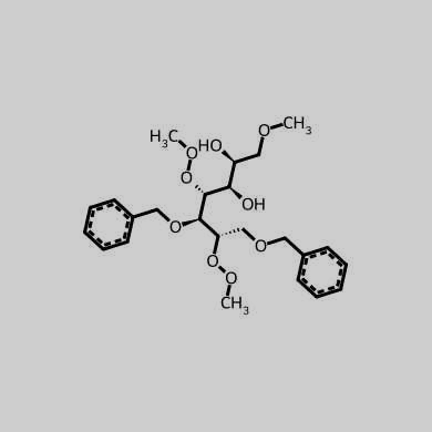 COC[C@H](O)[C@@H](O)[C@@H](OOC)[C@H](OCc1ccccc1)[C@H](COCc1ccccc1)OOC